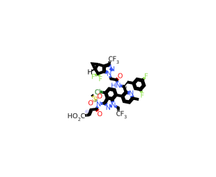 Cc1ccc(-c2ccc(Cl)c3c(N(C(=O)/C=C/C(=O)O)S(C)(=O)=O)nn(CC(F)(F)F)c23)c([C@H](Cc2cc(F)cc(F)c2)NC(=O)Cn2nc(C(F)(F)F)c3c2C(F)(F)[C@@H]2CC32)n1